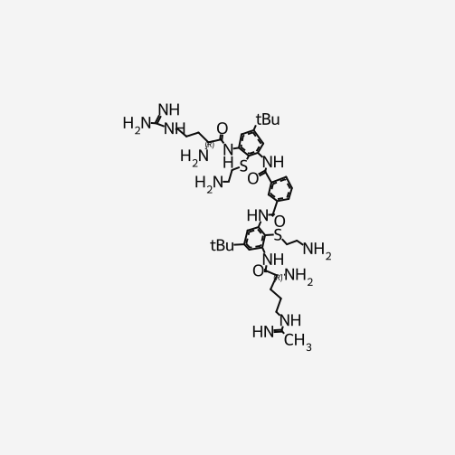 CC(=N)NCCC[C@@H](N)C(=O)Nc1cc(C(C)(C)C)cc(NC(=O)c2cccc(C(=O)Nc3cc(C(C)(C)C)cc(NC(=O)[C@H](N)CCCNC(=N)N)c3SCCN)c2)c1SCCN